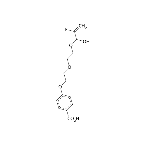 C=C(F)C(O)OCCOCCOc1ccc(C(=O)O)cc1